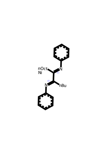 CCCCCCCCC(=N\c1ccccc1)/C(CCCC)=N/c1ccccc1.[Ni]